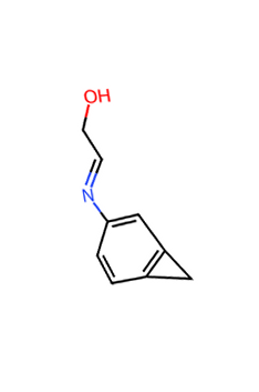 OCC=Nc1ccc2c(c1)C2